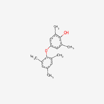 Cc1cc(C)c(Oc2cc(C)c(O)c(C)c2)c(C)c1